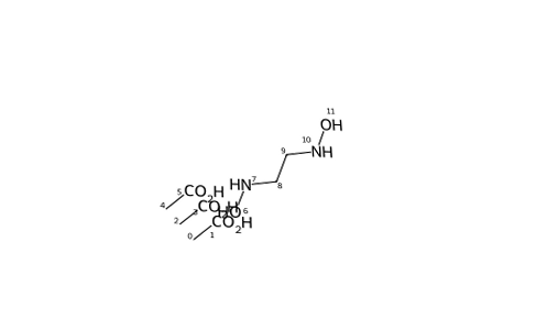 CC(=O)O.CC(=O)O.CC(=O)O.ONCCNO